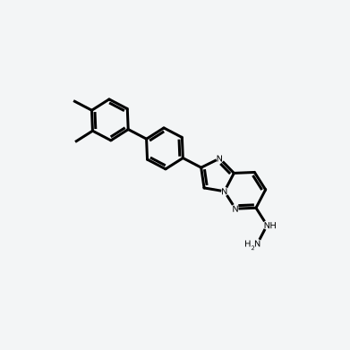 Cc1ccc(-c2ccc(-c3cn4nc(NN)ccc4n3)cc2)cc1C